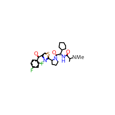 CNC(C)C(=O)N[C@H](C(=O)N1CCCC1c1nc(C(=O)c2ccc(F)cc2F)cs1)C1CCCCC1